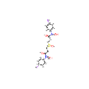 O=C(CC[S+]([O-])CCC(=O)N(O)c1ccc(I)cc1)N(O)c1ccc(I)cc1